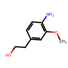 COc1cc(CCO)ccc1N